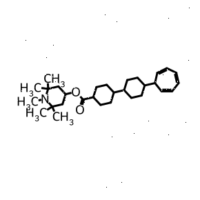 CN1C(C)(C)CC(OC(=O)C2CCC(C3CCC(C4C=CC=CC=C4)CC3)CC2)CC1(C)C